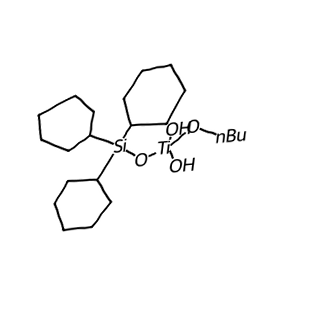 CCCC[O][Ti]([OH])([OH])[O][Si](C1CCCCC1)(C1CCCCC1)C1CCCCC1